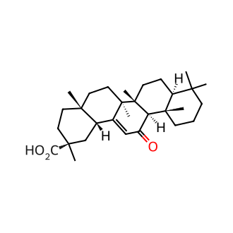 CC1(C)CCC[C@]2(C)[C@H]3C(=O)C=C4[C@@H]5C[C@@](C)(C(=O)O)CC[C@]5(C)CC[C@@]4(C)[C@]3(C)CC[C@@H]12